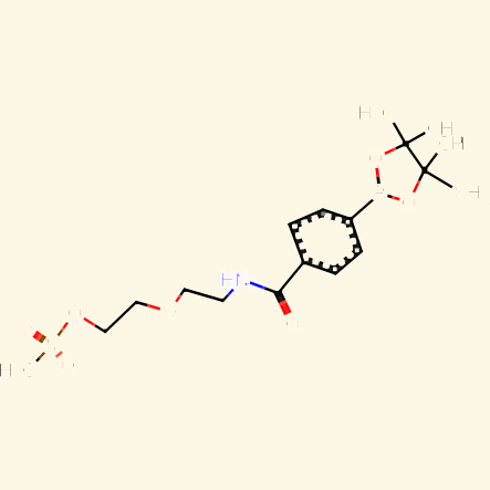 CC1(C)OB(c2ccc(C(=O)NCCOCCOS(C)(=O)=O)cc2)OC1(C)C